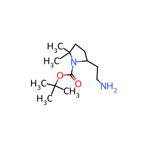 CC(C)(C)OC(=O)N1C(CCN)CCC1(C)C